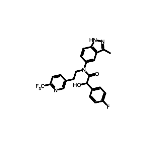 Cc1n[nH]c2ccc(N(CCc3ccc(C(F)(F)F)nc3)C(=O)C(O)c3ccc(F)cc3)cc12